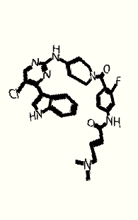 CN(C)CC=CC(=O)Nc1ccc(C(=O)N2CCC(Nc3ncc(Cl)c(-c4c[nH]c5ccccc45)n3)CC2)c(F)c1